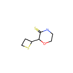 S=C1[N]CCOC1C1CCS1